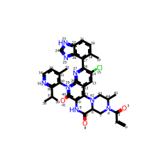 C=CC(=O)N1CC2C(=O)Nc3c(c4cc(Cl)c(-c5c(C)ccc6[nH]cnc56)nc4n(-c4c(C)ccnc4C(C)C)c3=O)N2CC1C